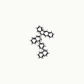 c1ccc2cc3c(cc2c1)c1ccccc1n3-c1nc(-c2ccc(-c3cccc4ccccc34)cn2)c2ccccc2n1